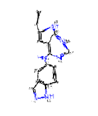 C=Cc1cc2c(Nc3ccc4[nH]ncc4c3)ncnc2[nH]1